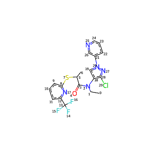 CCN(C(=O)C(C)Sc1cccc(C(F)(F)F)n1)c1cn(-c2cccnc2)nc1Cl